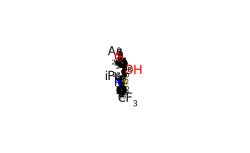 CC(=O)COc1ccc([C@H](O)CCc2sc(-c3ccc(C(F)(F)F)cc3)nc2C(C)C)cc1C